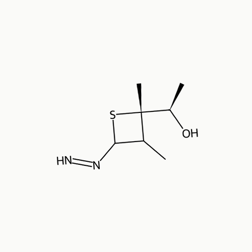 CC1C(N=N)S[C@]1(C)[C@@H](C)O